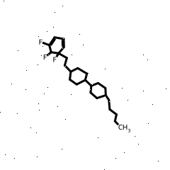 CCCCCC1CCC(C2CCC(CCC3(F)C=CC=C(F)C3F)CC2)CC1